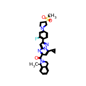 C[C@@H]1c2ccccc2CCN1C(=O)c1cc(C2CC2)n2nc(-c3ccc(N4CC[C@H](S(C)(=O)=O)C4)cc3F)cc2n1